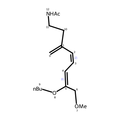 C=C(/C=C\C=C(/COC)OCCCC)CCNC(C)=O